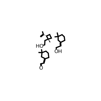 C=C(C)[C@@H]1CC[C@]1(C)CCO.CC1(C)CCC/C(=C/CO)C1.CC1(C)CCCC(=CC=O)C1